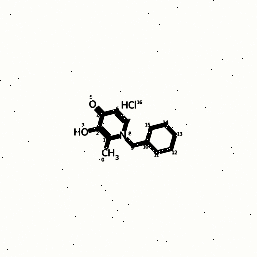 Cc1c(O)c(=O)ccn1CC1CCCCC1.Cl